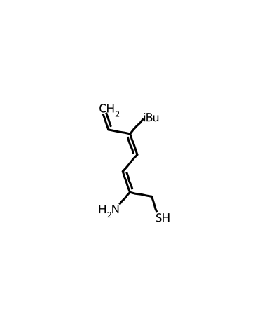 C=C/C(=C\C=C(\N)CS)C(C)CC